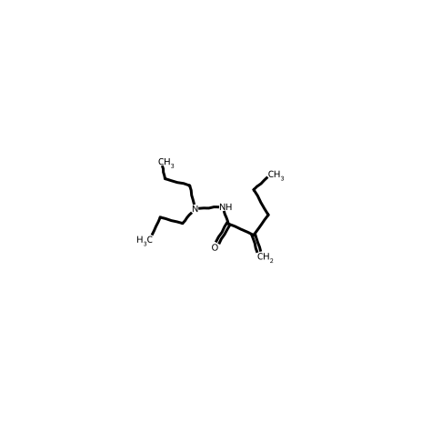 C=C(CCC)C(=O)NN(CCC)CCC